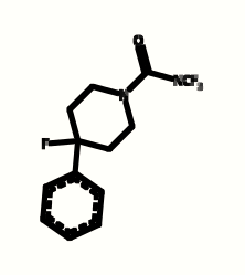 O=C(NC(F)(F)F)N1CCC(F)(c2ccccc2)CC1